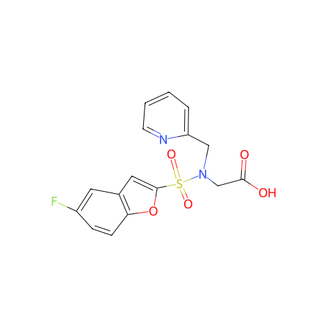 O=C(O)CN(Cc1ccccn1)S(=O)(=O)c1cc2cc(F)ccc2o1